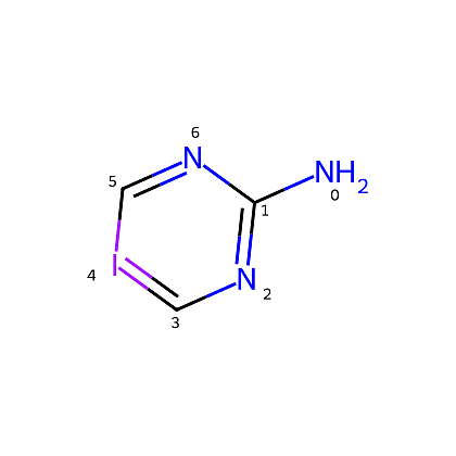 NC1=NC=IC=N1